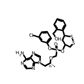 C[C@H](Cn1cnc2c(N)ncnc21)OCP(=O)(Oc1cccc(Cl)c1)OC1CSSC(c2ccccc2CO)C1